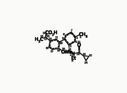 CCN(Cc1cc(C)ccc1-c1cc([C@@H](C)C(=O)O)ccc1OC)C(=O)C1CC1